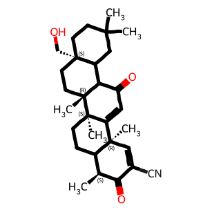 C[C@@H]1C(=O)C(C#N)=C[C@]2(C)C3=CC(=O)C4C5CC(C)(C)CC[C@]5(CO)CC[C@@]4(C)[C@]3(C)CCC12